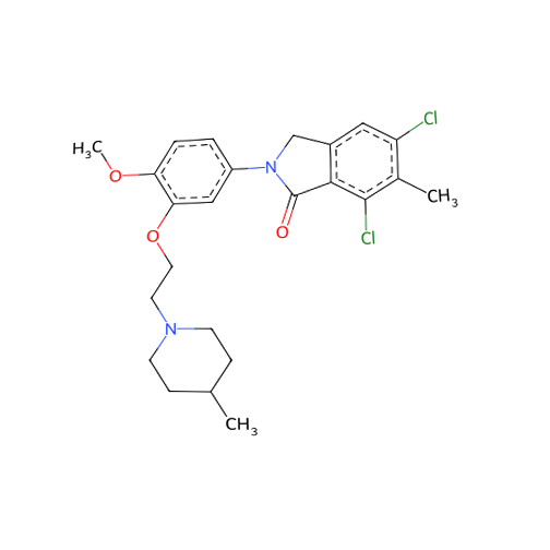 COc1ccc(N2Cc3cc(Cl)c(C)c(Cl)c3C2=O)cc1OCCN1CCC(C)CC1